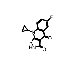 O=c1[nH]sc2c1c(=O)c1cc(F)ccc1n2C1CC1